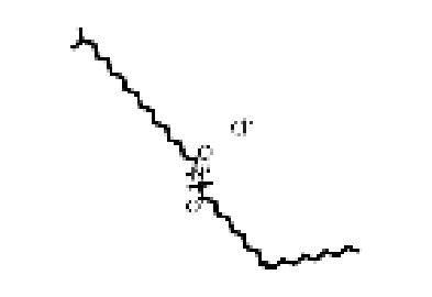 CCCCCCCC/C=C\CCCCCCCC(=O)C(C)(C)[N+](C)(C)C(=O)CCCCCCCCCCCCCCC(C)C.[Cl-]